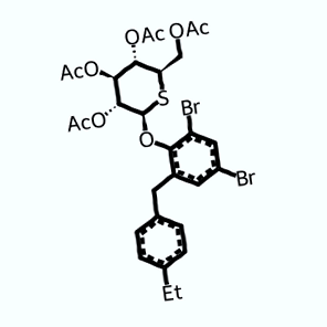 CCc1ccc(Cc2cc(Br)cc(Br)c2O[C@@H]2S[C@H](COC(C)=O)[C@@H](OC(C)=O)[C@H](OC(C)=O)[C@H]2OC(C)=O)cc1